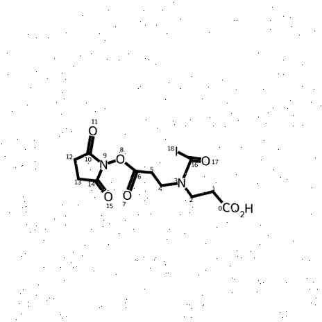 O=C(O)CCN(CCC(=O)ON1C(=O)CCC1=O)C(=O)I